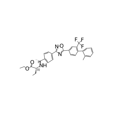 CCOC(=O)[C@H](CC)N[C@H](C)c1ccc(-c2noc(-c3ccc(-c4ccccc4C)c(C(F)(F)F)c3)n2)cc1